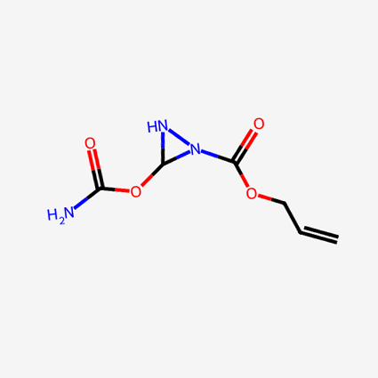 C=CCOC(=O)N1NC1OC(N)=O